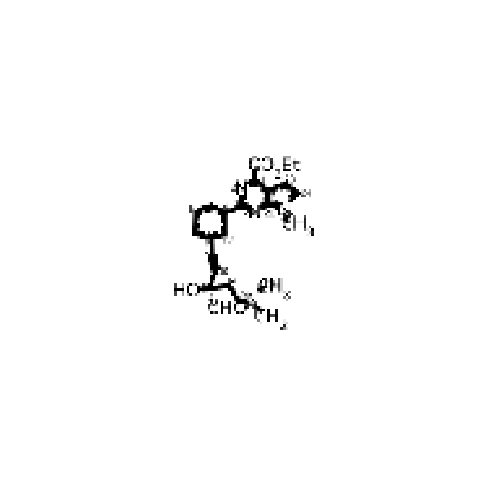 CCOC(=O)c1nc(-c2cccc(C#C[C@@](O)(C=O)CCN(C)C)c2)nc2c1ccn2C